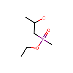 CCOP(C)(=O)CC(C)O